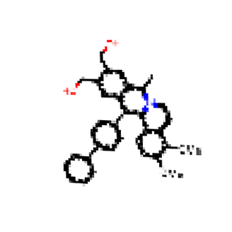 COc1ccc2c(cc[n+]3c(C)c4cc(CO)c(CO)cc4c(-c4ccc(-c5ccccc5)cc4)c23)c1OC